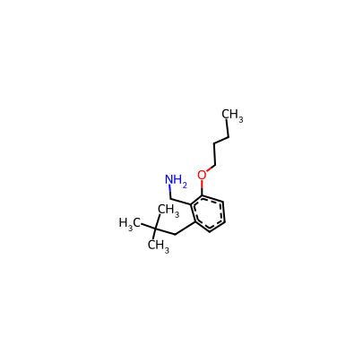 CCCCOc1cccc(CC(C)(C)C)c1CN